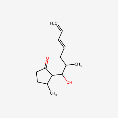 C=C/C=C/CC(C)C(O)C1C(=O)CCC1C